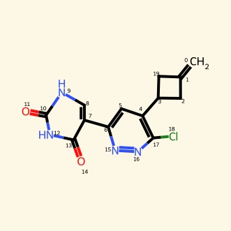 C=C1CC(c2cc(-c3c[nH]c(=O)[nH]c3=O)nnc2Cl)C1